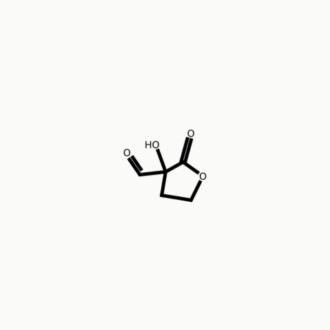 O=CC1(O)CCOC1=O